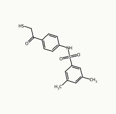 Cc1cc(C)cc(S(=O)(=O)Nc2ccc(C(=O)CS)cc2)c1